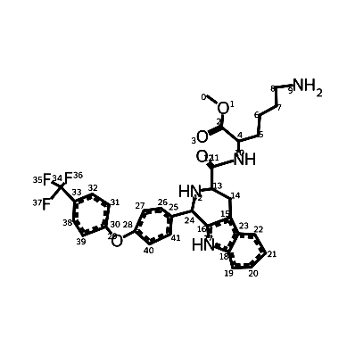 COC(=O)C(CCCCN)NC(=O)C1Cc2c([nH]c3ccccc23)C(c2ccc(Oc3ccc(C(F)(F)F)cc3)cc2)N1